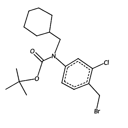 CC(C)(C)OC(=O)N(CC1CCCCC1)c1ccc(CBr)c(Cl)c1